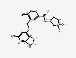 Nc1cc(OCc2cc(C(=O)NC3CCS(=O)(=O)C3)ccc2Cl)c2nn[nH]c2n1